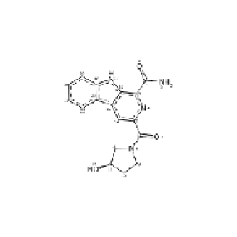 NC(=O)c1nc(C(=O)N2CC[C@@H](O)C2)cc2c1[nH]c1ccccc12